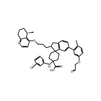 Cc1ccc(OCC=O)cc1-c1ccc2c(c1)C1(CCC(Nc3cccc(Cl)c3)(C(=O)O)CC1)C(CCCOc1ccnc3c1[C@H](C)CCC3)C2